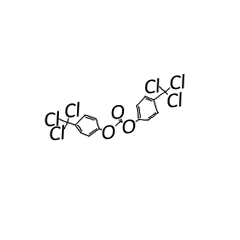 O=C(Oc1ccc(C(Cl)(Cl)Cl)cc1)Oc1ccc(C(Cl)(Cl)Cl)cc1